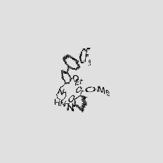 CCOc1cc(CN2CCC(Nc3nc4cccc(C(=O)OC)c4o3)CC2)ccc1-c1ccc(C(F)(F)F)cc1